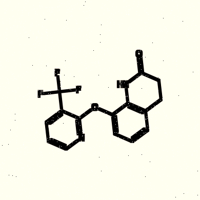 O=C1CCc2cccc(Oc3ncccc3C(F)(F)F)c2N1